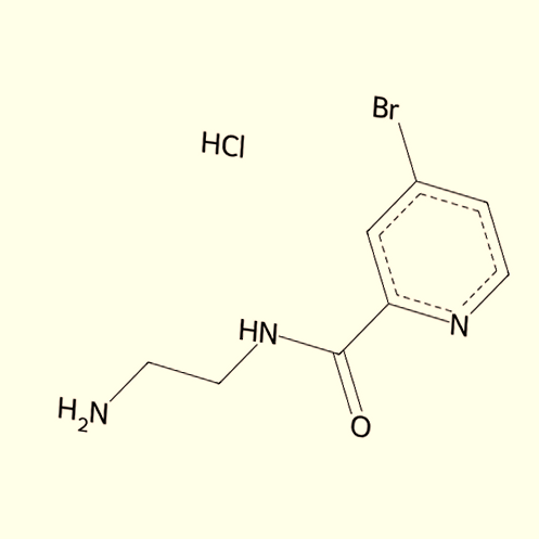 Cl.NCCNC(=O)c1cc(Br)ccn1